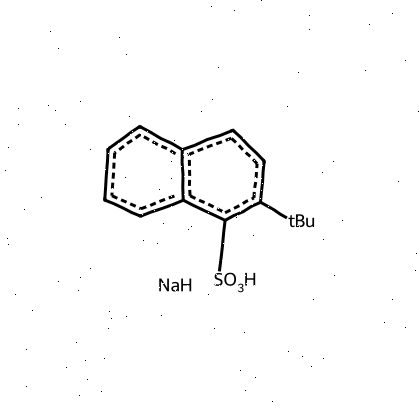 CC(C)(C)c1ccc2ccccc2c1S(=O)(=O)O.[NaH]